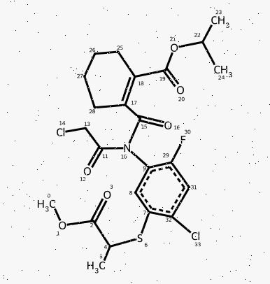 COC(=O)C(C)Sc1cc(N(C(=O)CCl)C(=O)C2=C(C(=O)OC(C)C)CCCC2)c(F)cc1Cl